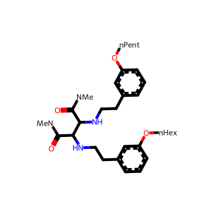 CCCCCCOc1cccc(CCNC(C(=O)NC)C(NCCc2cccc(OCCCCC)c2)C(=O)NC)c1